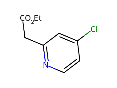 CCOC(=O)Cc1cc(Cl)ccn1